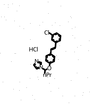 CCCC(Oc1ccc(/C=C/c2cccc(Cl)c2)cc1)n1ccnc1.Cl